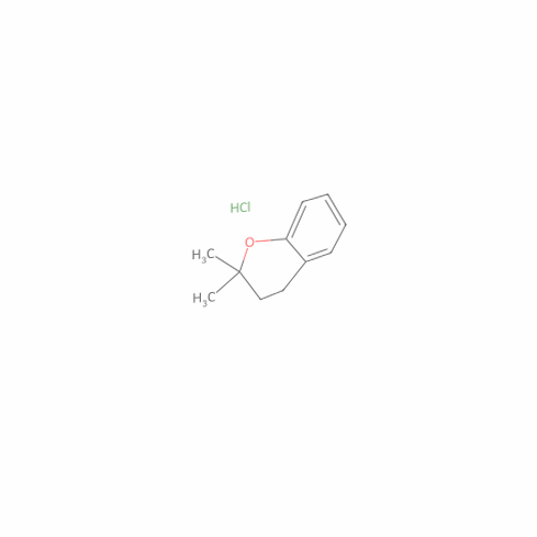 CC1(C)CCc2ccccc2O1.Cl